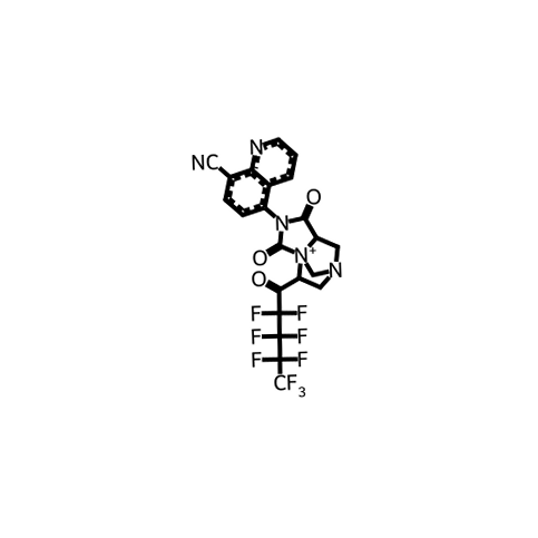 N#Cc1ccc(N2C(=O)C3CN4CC(C(=O)C(F)(F)C(F)(F)C(F)(F)C(F)(F)F)[N+]3(C4)C2=O)c2cccnc12